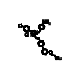 CC(C)(C)CCOc1cccc(-c2ccc(/C=C/c3nc(-c4ccc(Cl)cc4Cl)cn3Cc3ccc(N)cc3)cc2)c1